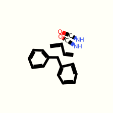 C=CC=C.N=C=O.N=C=O.c1ccc(Cc2ccccc2)cc1